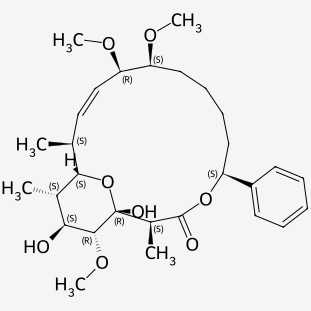 CO[C@H]1CCCC[C@@H](c2ccccc2)OC(=O)[C@@H](C)[C@@]2(O)O[C@H]([C@@H](C)[C@H](O)[C@H]2OC)[C@@H](C)C=C[C@H]1OC